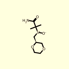 CC(C)(C(N)=O)[S+]([O-])C[C@H]1COCCO1